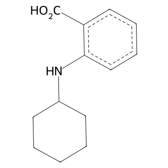 O=C(O)c1ccccc1NC1CCCCC1